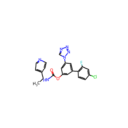 CC(NC(=O)Oc1cc(-c2ccc(Cl)cc2F)cc(-n2cnnn2)c1)c1ccncc1